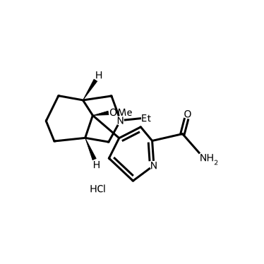 CCN1C[C@H]2CCC[C@@H](C1)[C@@]2(OC)c1ccnc(C(N)=O)c1.Cl